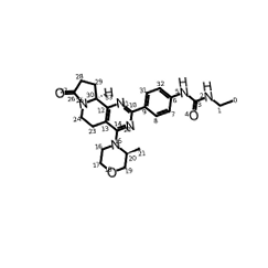 CCNC(=O)Nc1ccc(-c2nc3c(c(N4CCOC[C@@H]4C)n2)CCN2C(=O)CC[C@@H]32)cc1